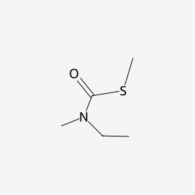 CCN(C)C(=O)SC